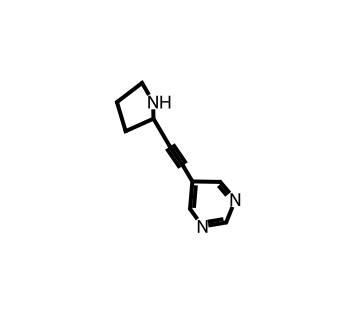 C(#CC1CCCN1)c1cncnc1